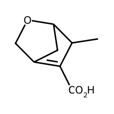 CC1C(C(=O)O)=C2COC1C2